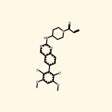 C=CC(=O)N1CCC(Nc2ncc3cc(-c4c(Cl)c(OC)cc(OC)c4Cl)ccc3n2)CC1